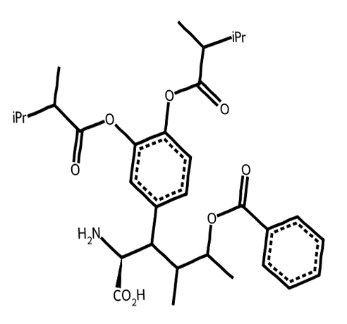 CC(C)C(C)C(=O)Oc1ccc(C(C(C)C(C)OC(=O)c2ccccc2)[C@H](N)C(=O)O)cc1OC(=O)C(C)C(C)C